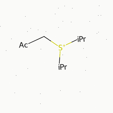 CC(=O)C[S+](C(C)C)C(C)C